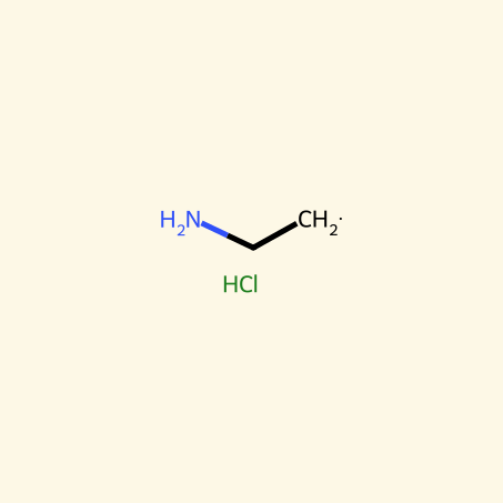 Cl.[CH2]CN